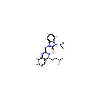 CC(C)CCc1nc(Cn2c(=O)n(C3CC3)c3ccccc32)nc2ccccc12